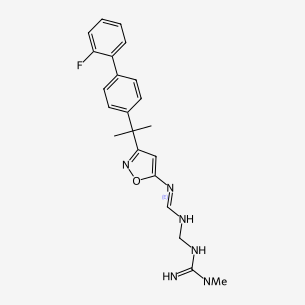 CNC(=N)NCN/C=N/c1cc(C(C)(C)c2ccc(-c3ccccc3F)cc2)no1